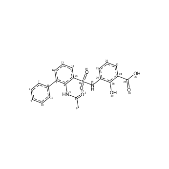 CC(=O)Nc1c(-c2ccccc2)cccc1S(=O)(=O)Nc1cccc(C(=O)O)c1O